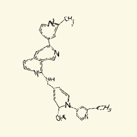 Cc1cc(-c2cc3ccnc(NCC4=CC(O)N(c5ccnc(C)c5)C=C4)c3cn2)ccn1